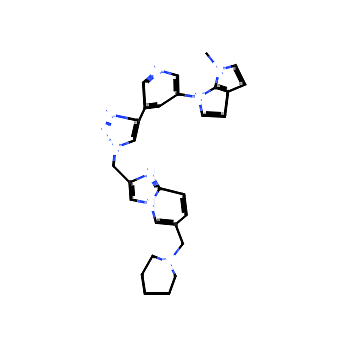 Cn1ccc2ccn(-c3cncc(-c4cn(Cc5cn6cc(CN7CCCCC7)ccc6n5)nn4)c3)c21